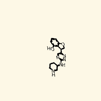 Oc1cccc2c1C(c1cnc(NC3CCCNC3)nn1)CO2